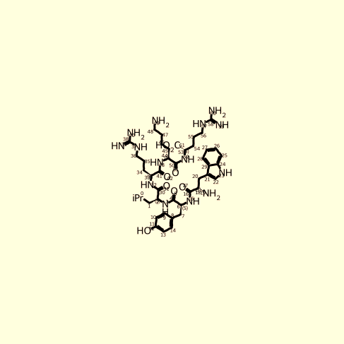 CC(C)C[C@H](NC(=O)[C@H](Cc1ccc(O)cc1)NC(=O)[C@@H](N)Cc1c[nH]c2ccccc12)C(=O)N[C@@H](CCCNC(=N)N)C(=O)N[C@@H](CCCCN)C(=O)N[C@@H](CCCNC(=N)N)C(=O)O